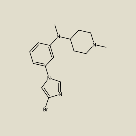 CN1CCC(N(C)c2cccc(-n3cnc(Br)c3)c2)CC1